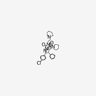 O=C(N1CC(c2ccccc2)C(c2ccc(Cl)cc2)=N1)N(CCN1CCCCC1)S(=O)(=O)N1CCCCC1